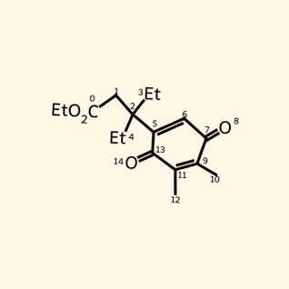 CCOC(=O)CC(CC)(CC)C1=CC(=O)C(C)=C(C)C1=O